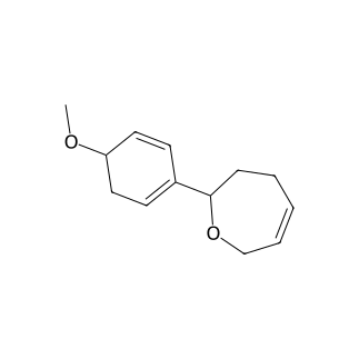 COC1C=CC(C2CCC=CCO2)=CC1